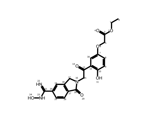 CCOC(=O)COc1ccc(O)c(C(=O)CN2Cc3cc(C(=N)NO)ccc3C2=O)c1